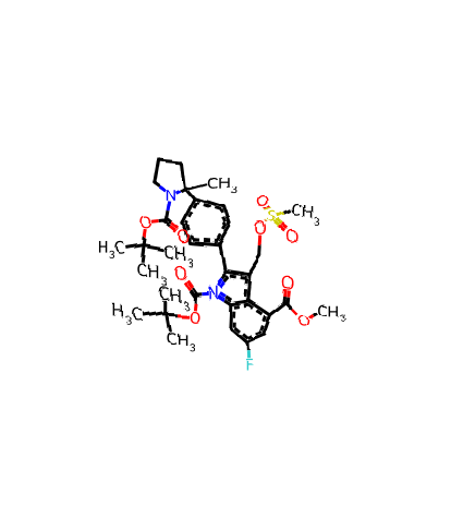 COC(=O)c1cc(F)cc2c1c(COS(C)(=O)=O)c(-c1ccc(C3(C)CCCN3C(=O)OC(C)(C)C)cc1)n2C(=O)OC(C)(C)C